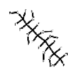 FOC(F)(F)C(F)(OF)C(F)(OF)C(F)(OF)C(F)(OF)C(F)(OF)C(F)(OF)C(F)(Cl)Cl